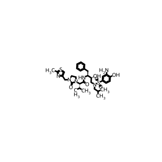 Cc1nc(CN2CCN([C@H](C(=O)N[C@@H](Cc3ccccc3)[C@H](O)CN(CC(C)C)S(=O)(=O)c3ccc(O)c(N)c3)C(C)C)C2=O)cs1